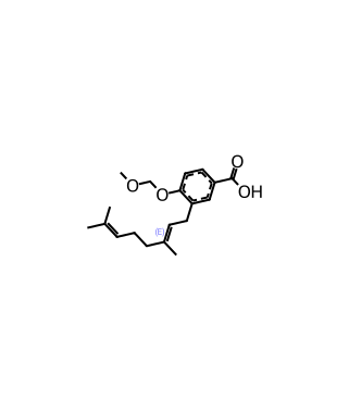 COCOc1ccc(C(=O)O)cc1C/C=C(\C)CCC=C(C)C